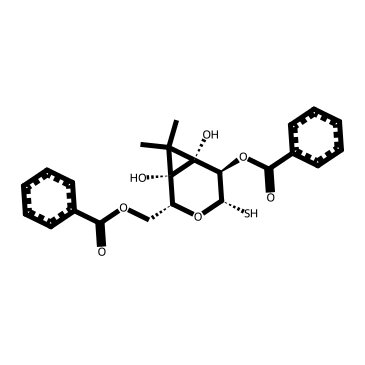 CC1(C)[C@]2(O)[C@@H](COC(=O)c3ccccc3)O[C@@H](S)[C@H](OC(=O)c3ccccc3)[C@]12O